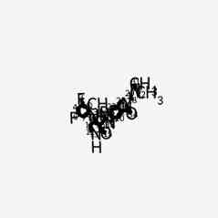 Cc1c(F)cc(F)cc1N(c1cc[nH]c(=O)c1-c1nc2cc3c(cc2[nH]1)CN(CCN(C)C)C3=O)C(C)C